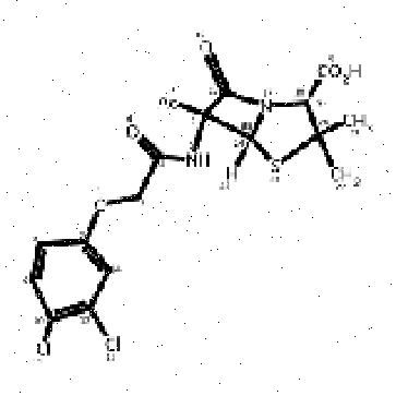 CC(=O)C1(NC(=O)COc2ccc(Cl)c(Cl)c2)C(=O)N2[C@@H](C(=O)O)C(C)(C)S[C@@H]21